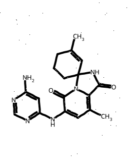 CC1=CC2(CCC1)NC(=O)c1c(C)cc(Nc3cc(N)ncn3)c(=O)n12